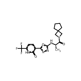 C[C@@H](Nc1nnc(-c2ccc(C(F)(F)F)[nH]c2=O)o1)C(=O)N1CC2(CCCC2)C1